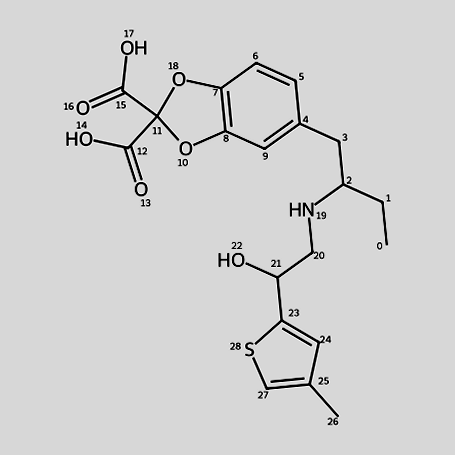 CCC(Cc1ccc2c(c1)OC(C(=O)O)(C(=O)O)O2)NCC(O)c1cc(C)cs1